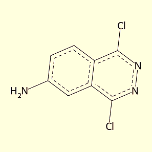 Nc1ccc2c(Cl)nnc(Cl)c2c1